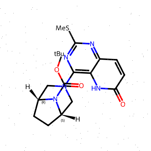 CSc1nc(N2C[C@H]3CC[C@@H](C2)N3C(=O)OC(C)(C)C)c2[nH]c(=O)ccc2n1